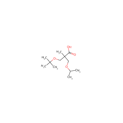 CC(C)OCC(C)(COC(C)(C)C)C(=O)O